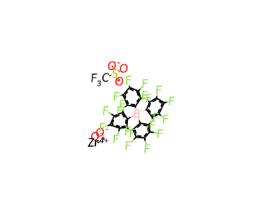 C[O-].C[O-].Fc1c(F)c(F)c([B-](c2c(F)c(F)c(F)c(F)c2F)(c2c(F)c(F)c(F)c(F)c2F)c2c(F)c(F)c(F)c(F)c2F)c(F)c1F.O=S(=O)([O-])C(F)(F)F.[Zr+4]